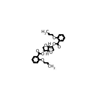 C=CCOc1ccccc1C(=O)O[C@H]1CO[C@H]2[C@@H]1OC[C@H]2OC(=O)c1ccccc1OCC=C